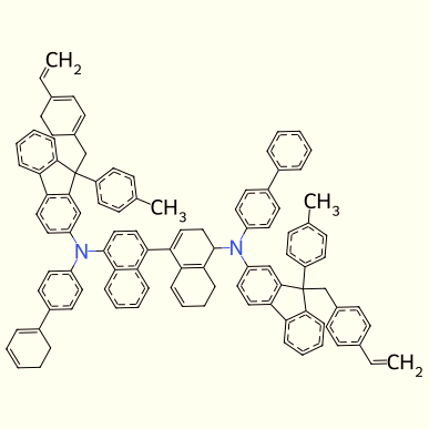 C=CC1=CC=C(CC2(c3ccc(C)cc3)c3ccccc3-c3ccc(N(c4ccc(C5=CC=CCC5)cc4)c4ccc(C5=CCC(N(c6ccc(-c7ccccc7)cc6)c6ccc7c(c6)C(Cc6ccc(C=C)cc6)(c6ccc(C)cc6)c6ccccc6-7)C6=C5C=CCC6)c5ccccc45)cc32)CC1